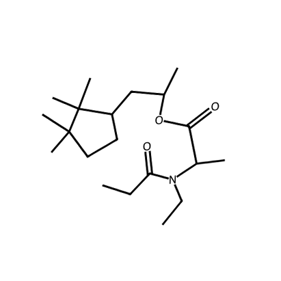 CCC(=O)N(CC)C(C)C(=O)OC(C)CC1CCC(C)(C)C1(C)C